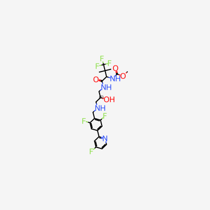 COC(=O)NC(C(=O)NC[C@@H](O)CNCc1c(F)cc(-c2cc(F)ccn2)cc1F)C(C)(C)C(F)(F)F